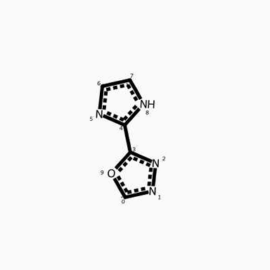 [c]1nnc(-c2ncc[nH]2)o1